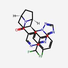 O=C(c1cnc2c(F)cccc2c1)N1[C@H]2CC[C@H](c3cc(C(F)F)nc4ncnn34)[C@@H]1CC2